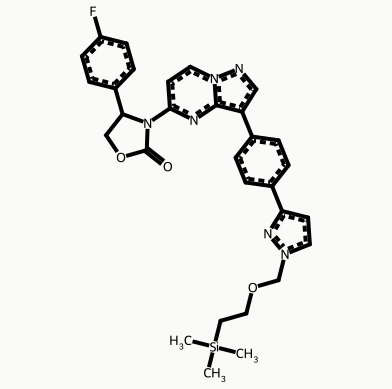 C[Si](C)(C)CCOCn1ccc(-c2ccc(-c3cnn4ccc(N5C(=O)OCC5c5ccc(F)cc5)nc34)cc2)n1